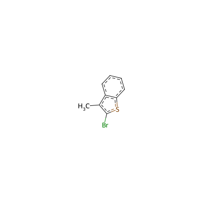 Cc1c(Br)sc2ccccc12